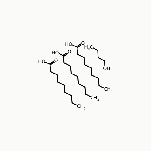 CCCCCCCCC(=O)O.CCCCCCCCC(=O)O.CCCCCCCCC(=O)O.CCCCO